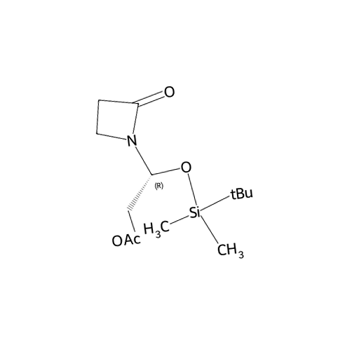 CC(=O)OC[C@@H](O[Si](C)(C)C(C)(C)C)N1CCC1=O